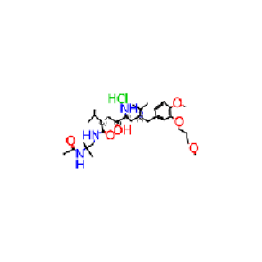 COCCCOc1cc(C[C@@H](C[C@H](N)[C@@H](O)C[C@H](C(=O)NCC(C)(C)NC(C)=O)C(C)C)C(C)C)ccc1OC.Cl